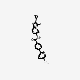 Cc1c(C2CC2)nc2ccc(NC(=O)c3ccc(-c4ccc(C(F)(F)F)cn4)cc3)cn12